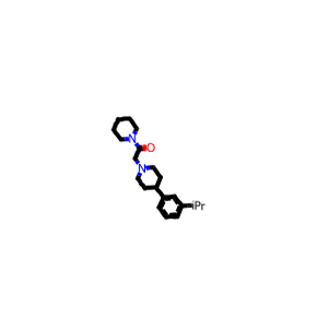 CC(C)c1cccc(C2CCN(CC(=O)N3CCCCC3)CC2)c1